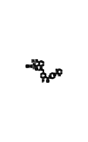 Bc1cccc(N(C)Cc2ccc(F)c(C(=O)N3CCN(c4ncccn4)CC3)c2)c1C(=O)NC=O